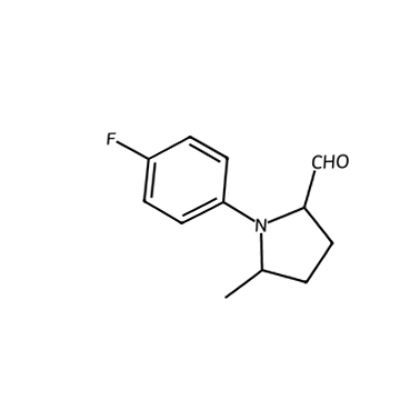 CC1CCC(C=O)N1c1ccc(F)cc1